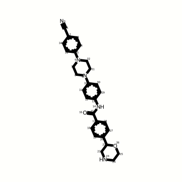 N#Cc1ccc(N2CCN(c3ccc(NC(=O)c4ccc(C5CNCCO5)cc4)cc3)CC2)cc1